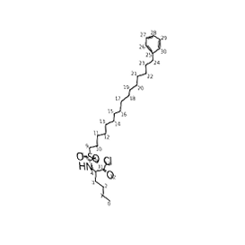 CCCCC(NS(=O)(=O)CCCCCCCCCCCCCCCCc1ccccc1)C(=O)Cl